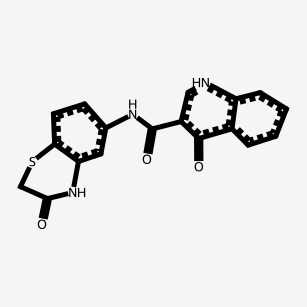 O=C1CSc2ccc(NC(=O)c3c[nH]c4ccccc4c3=O)cc2N1